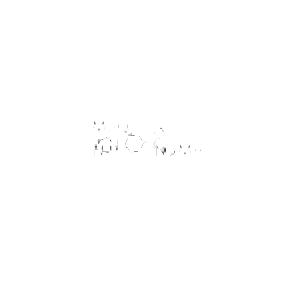 COc1cc(C(=O)N(C)OC)ccc1-n1cnc(C)c1